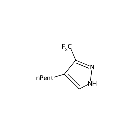 CCCCCc1c[nH]nc1C(F)(F)F